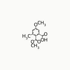 COC(=O)c1c(C)cc(OC)cc1C(=O)O